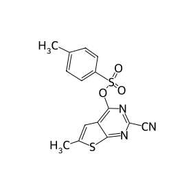 Cc1ccc(S(=O)(=O)Oc2nc(C#N)nc3sc(C)cc23)cc1